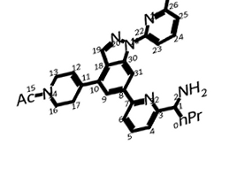 CCCC(N)c1cccc(-c2cc(C3=CCN(C(C)=O)CC3)c3cnn(-c4cccc(CO)n4)c3c2)n1